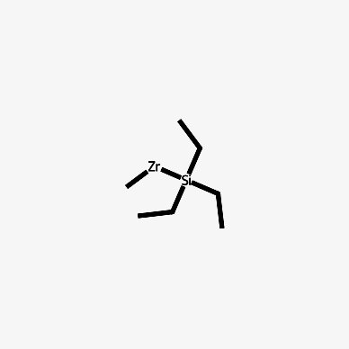 CC[Si](CC)(CC)[Zr][CH3]